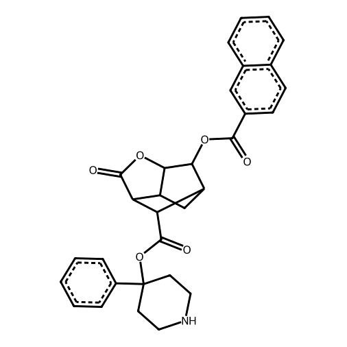 O=C(OC1C2CC3C1OC(=O)C3C2C(=O)OC1(c2ccccc2)CCNCC1)c1ccc2ccccc2c1